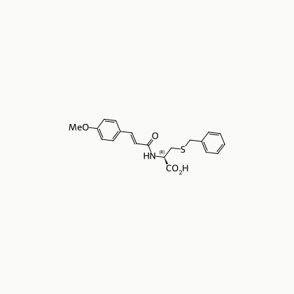 COc1ccc(C=CC(=O)N[C@@H](CSCc2ccccc2)C(=O)O)cc1